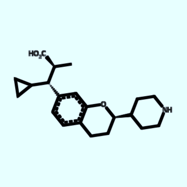 C[C@H](C(=O)O)[C@H](c1ccc2c(c1)O[C@@H](C1CCNCC1)CC2)C1CC1